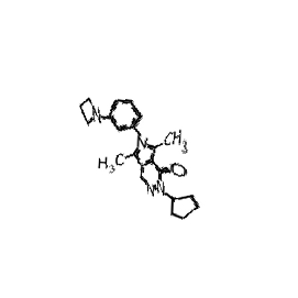 Cc1c2cnn(C3CCCC3)c(=O)c2c(C)n1-c1cccc(N2CCC2)c1